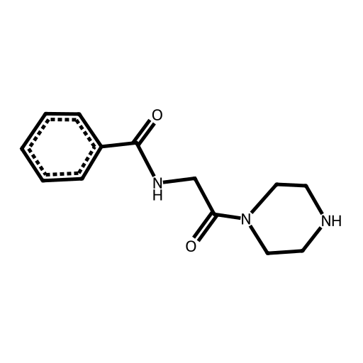 O=C(NCC(=O)N1CCNCC1)c1ccccc1